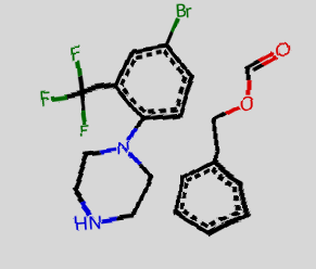 FC(F)(F)c1cc(Br)ccc1N1CCNCC1.O=COCc1ccccc1